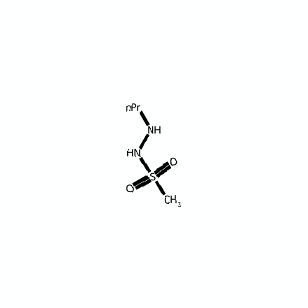 CCCNNS(C)(=O)=O